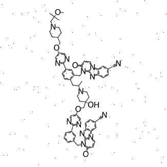 COC(C)(C)CN1CCC(COc2cnc(-c3ccc(CC(C)N4CCC(O)(COc5cnc(-c6cccc(Cn7c(=O)ccn8c9cc(C#N)ccc9nc78)c6)nc5)CC4)c(Cn4c(=O)ccn5c6cc(C#N)ccc6nc45)c3)nc2)CC1